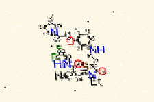 CCN1C(=O)C(CCNc2cccc(OCCN3CCCC3)c2)SC1CC(C#N)C(=O)NCC(F)F